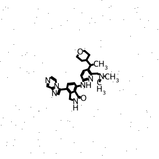 CC(c1ccc(Nc2ccc(-c3cnc4cnccn34)c3c2C(=O)NC3)nc1CN(C)C)C1CCOCC1